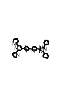 c1ccc(-c2nc(-c3ccccc3)nc(-c3ccc(-c4ccc(-c5cc(-c6ccccn6)nc(-c6ccccn6)c5)nc4)nc3)n2)cc1